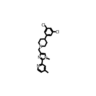 Cc1ccnc(-c2nc(CN3CCC(c4cc(Cl)cc(Cl)c4)CC3)cn2C)c1